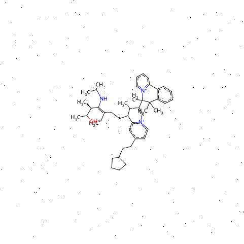 C=C/C(CCC1c2cc(CCC3CCCC3)cc[n+]2C=C(C2(C)[n+]3ccccc3-c3ccccc3C2(C)C)C1C)=C(/NC(C)C)[C@H](C)C(C)O